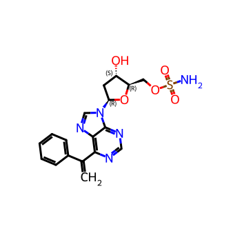 C=C(c1ccccc1)c1ncnc2c1ncn2[C@H]1C[C@H](O)[C@@H](COS(N)(=O)=O)O1